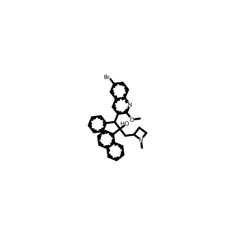 COc1nc2ccc(Br)cc2cc1C(c1ccccc1)C(O)(CC1CCN1C)c1cccc2ccccc12